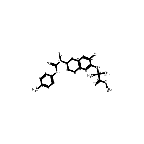 CCN(C(=O)Oc1ccc(C)cc1)C1CCc2cc(SC(C)(C)C(=O)OC(C)(C)C)c(Cl)cc2C1